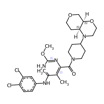 C=C(Nc1ccc(Cl)c(Cl)c1)/C(C)=C(\N=C(/N)OC)C(=O)N1CCC(N2CCO[C@@H]3COCC[C@@H]32)CC1